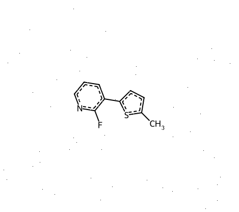 Cc1ccc(-c2cccnc2F)s1